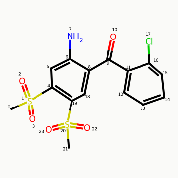 CS(=O)(=O)c1cc(N)c(C(=O)c2ccccc2Cl)cc1S(C)(=O)=O